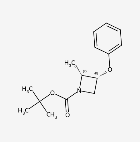 C[C@@H]1[C@H](Oc2ccccc2)CN1C(=O)OC(C)(C)C